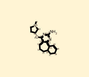 CN1CC[C@@H](Oc2nc(N)nc3c2=CCCC2CCC=CC=32)C1